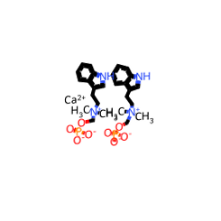 C[N+](C)(CCc1c[nH]c2ccccc12)COP(=O)([O-])[O-].C[N+](C)(CCc1c[nH]c2ccccc12)COP(=O)([O-])[O-].[Ca+2]